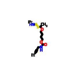 CCC#CCNC(=O)OCCCCOC(C)SSNC(C)C